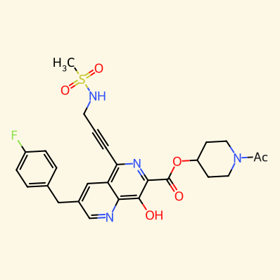 CC(=O)N1CCC(OC(=O)c2nc(C#CCNS(C)(=O)=O)c3cc(Cc4ccc(F)cc4)cnc3c2O)CC1